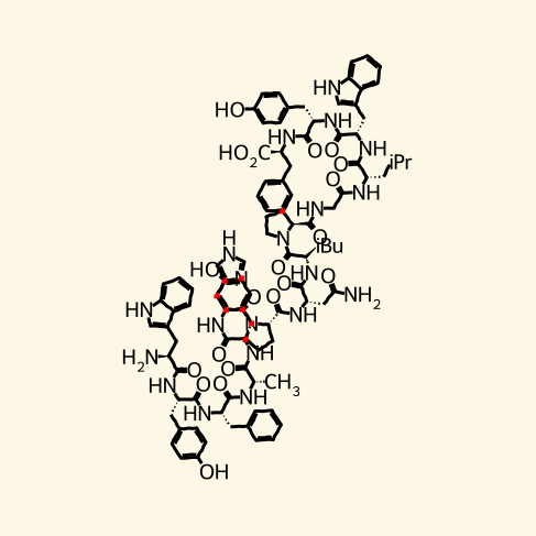 CC[C@H](C)[C@H](NC(=O)[C@H](CC(N)=O)NC(=O)[C@@H]1CCCN1C(=O)[C@H](Cc1c[nH]cn1)NC(=O)[C@H](Cc1ccc(O)cc1)NC(=O)[C@H](C)NC(=O)[C@H](Cc1ccccc1)NC(=O)[C@H](Cc1ccc(O)cc1)NC(=O)[C@@H](N)Cc1c[nH]c2ccccc12)C(=O)N1CCC[C@H]1C(=O)NCC(=O)N[C@@H](CC(C)C)C(=O)N[C@@H](Cc1c[nH]c2ccccc12)C(=O)N[C@@H](Cc1ccc(O)cc1)C(=O)N[C@@H](Cc1ccccc1)C(=O)O